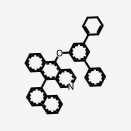 C1=CC(c2cc(Oc3c4ccccc4c(-c4cccc5ccccc45)c4cnccc34)cc(-c3ccccc3)c2)=CCC1